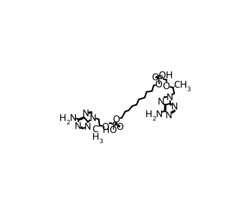 C[C@H](Cn1cnc2c(N)ncnc21)OCP(=O)(O)OCCCCCCCCCCOP(=O)(O)CO[C@H](C)Cn1cnc2c(N)ncnc21